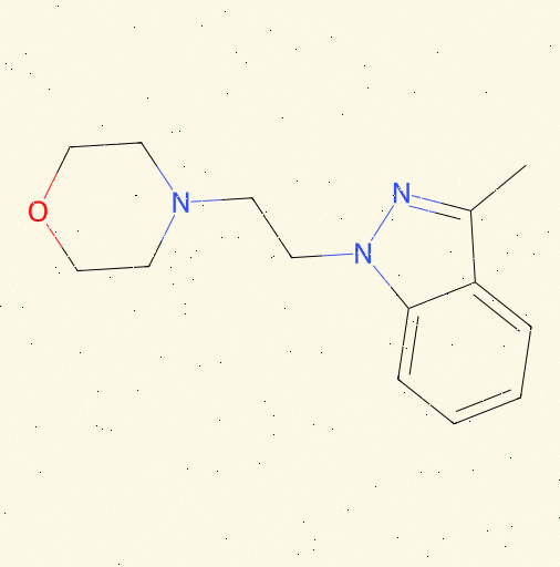 Cc1nn(CCN2CCOCC2)c2ccccc12